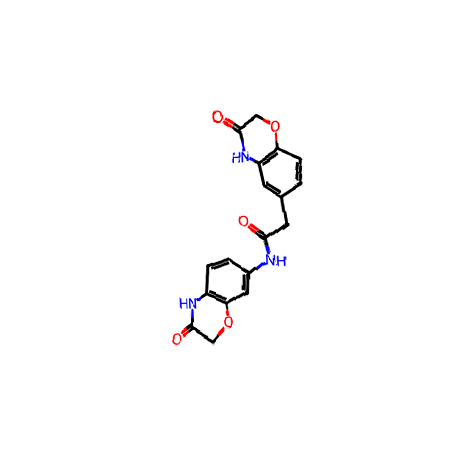 O=C(Cc1ccc2c(c1)NC(=O)CO2)Nc1ccc2c(c1)OCC(=O)N2